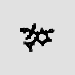 CS(=O)(=O)c1nc(Cl)ncc1C1CC1